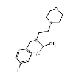 CC(C)N(CCN1CCOCC1)Cc1ccc(F)cc1